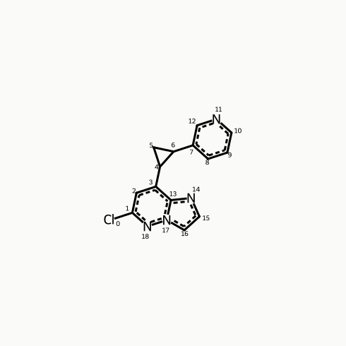 Clc1cc(C2CC2c2cccnc2)c2nccn2n1